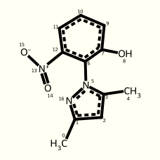 Cc1cc(C)n(-c2c(O)cccc2[N+](=O)[O-])n1